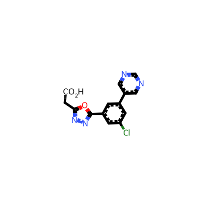 O=C(O)Cc1nnc(-c2cc(Cl)cc(-c3cncnc3)c2)o1